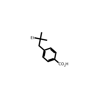 CCC(C)(C)Cc1ccc(C(=O)O)cc1